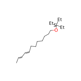 C/C=C/C=C/CCCCCCCO[Si](CC)(CC)CC